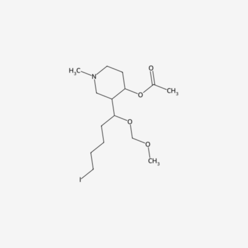 COCOC(CCCCI)C1CN(C)CCC1OC(C)=O